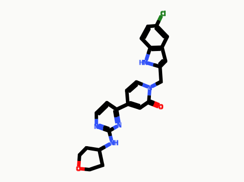 O=c1cc(-c2ccnc(NC3CCOCC3)n2)ccn1Cc1cc2cc(Cl)ccc2[nH]1